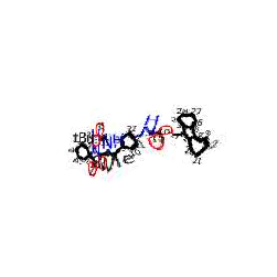 COC(=O)C1(NC(=O)C(Cc2ccc(NC(=O)OCC3c4ccccc4-c4ccccc43)cc2)NC(=O)OC(C)(C)C)CCCCC1